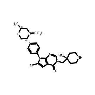 C[C@H]1CN(C(=O)O)[C@H](c2ccc(-n3c(Cl)cc4c(=O)n(CC5(O)CCNCC5)cnc43)cc2)CO1